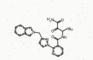 CCCCC(NC(=O)c1cccnc1-n1ccc(Cn2cc3ccccc3c2)n1)C(=O)C(N)=O